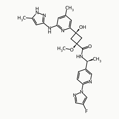 CO[C@]1(C(=O)N[C@@H](C)c2ccc(-n3cc(F)cn3)nc2)C[C@@](O)(c2cc(C)cc(Nc3cc(C)[nH]n3)n2)C1